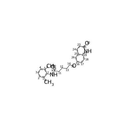 Cc1cccc(C)c1NC(=O)CCCCOc1ccc2[nH]c(=O)ccc2c1